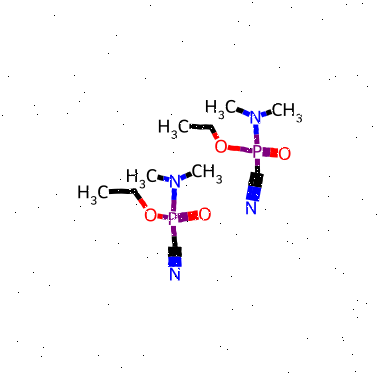 CCOP(=O)(C#N)N(C)C.CCOP(=O)(C#N)N(C)C